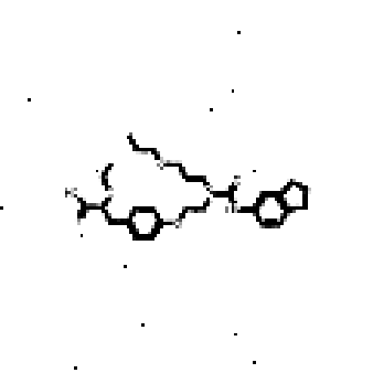 CCCOCCCN(CCOc1ccc(CC(OCC)C(=O)O)cc1)C(=O)Nc1ccc2c(c1)CCC2